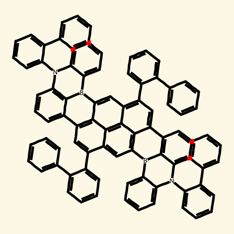 c1ccc(-c2ccccc2-c2cc3c4c(cc5c(-c6ccccc6-c6ccccc6)cc6c7c(cc2c4c57)B2c4ccccc4N(c4ccccc4-c4ccccc4)c4cccc-6c42)B2c4ccccc4N(c4ccccc4-c4ccccc4)c4cccc-3c42)cc1